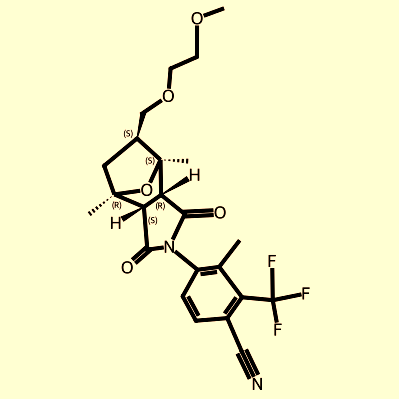 COCCOC[C@@H]1C[C@@]2(C)O[C@]1(C)[C@@H]1C(=O)N(c3ccc(C#N)c(C(F)(F)F)c3C)C(=O)[C@@H]12